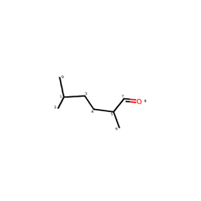 CC(C)CCC(C)C=O